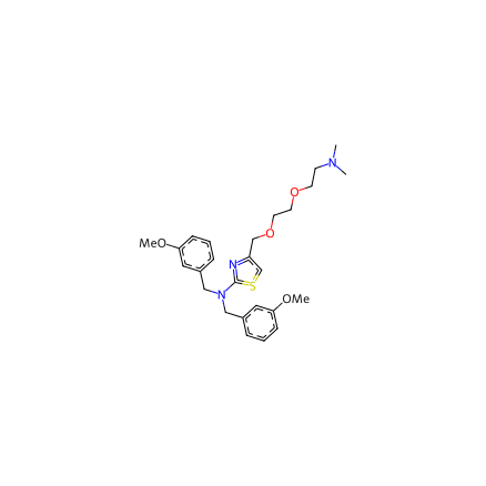 COc1cccc(CN(Cc2cccc(OC)c2)c2nc(COCCOCCN(C)C)cs2)c1